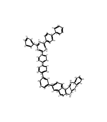 c1ccc(-c2ccc(-c3nc(-c4ccccc4)nc(-c4ccc(-c5ccc(-c6cccc(-c7ccc8c(ccc9oc%10nc%11ccccc%11nc%10c98)c7)c6)cc5)cc4)n3)cc2)cc1